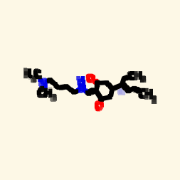 C=C/C=C(\C=C)C1CC(=O)C(=CNCCCCN(C)C)C(=O)C1